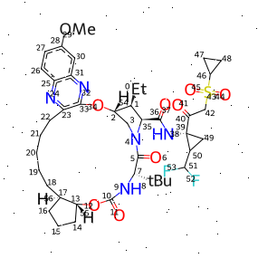 CC[C@@H]1[C@@H]2CN(C(=O)[C@H](C(C)(C)C)NC(=O)O[C@@H]3CCC[C@H]3CCCCCc3nc4ccc(OC)cc4nc3O2)[C@@H]1C(=O)N[C@]1(C(=O)CS(=O)(=O)C2CC2)CC1C(F)F